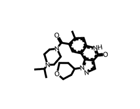 Cc1cc2[nH]c(=O)c3cnn(C4CCOCC4)c3c2cc1C(=O)N1CCN(C(C)C)CC1